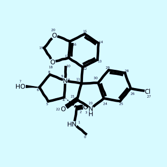 CNC(=O)[C@@H]1C[C@@H](O)C[N+]1(C)C1(c2cccc3c2OCO3)C(=O)Nc2cc(Cl)ccc21